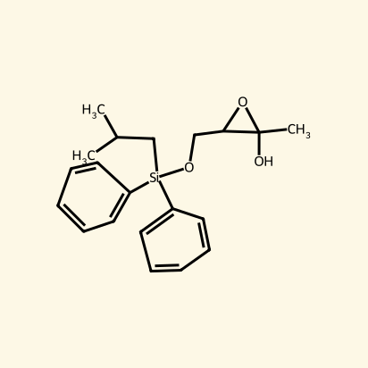 CC(C)C[Si](OCC1OC1(C)O)(c1ccccc1)c1ccccc1